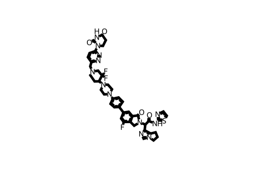 O=C1CCN(c2ccc(CN3CCC(N4CCN(c5ccc(-c6cc(F)c7c(c6)C(=O)N(C(C(=O)Nc6nccs6)c6ncn8c6CCC8)C7)cc5)CC4)C(F)(F)C3)nn2)C(=O)N1